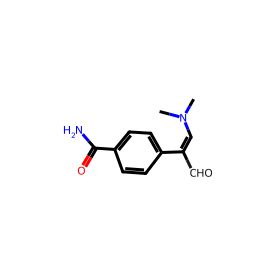 CN(C)/C=C(/C=O)c1ccc(C(N)=O)cc1